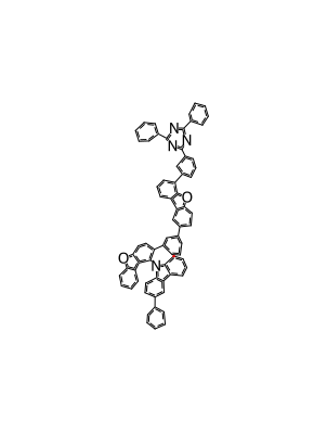 c1ccc(-c2ccc3c(c2)c2ccccc2n3-c2c(-c3cccc(-c4ccc5oc6c(-c7cccc(-c8nc(-c9ccccc9)nc(-c9ccccc9)n8)c7)cccc6c5c4)c3)ccc3oc4ccccc4c23)cc1